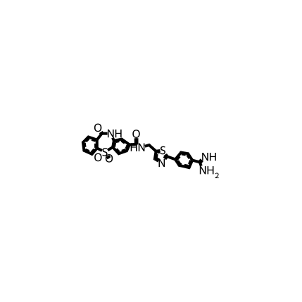 N=C(N)c1ccc(-c2ncc(CNC(=O)c3ccc4c(c3)NC(=O)c3ccccc3S4(=O)=O)s2)cc1